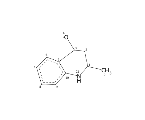 CC1CC([O])c2ccccc2N1